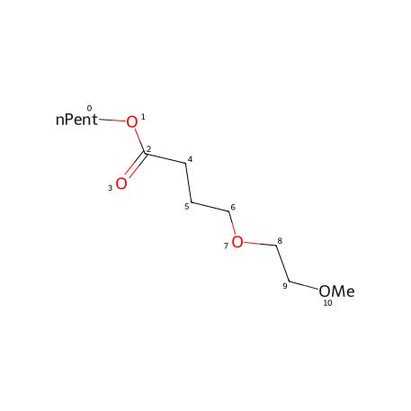 CCCCCOC(=O)CCCOCCOC